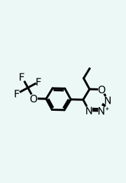 CCC1ON=[N+]=NC1c1ccc(OC(F)(F)F)cc1